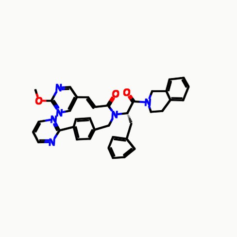 COc1ncc(C=CC(=O)N(Cc2ccc(-c3ncccn3)cc2)[C@@H](Cc2ccccc2)C(=O)N2CCc3ccccc3C2)cn1